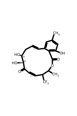 Cc1cc(O)c2c(c1)/C=C/C[C@H](O)[C@H](O)C(=O)/C=C\C(C(F)(F)F)C(C)OC2=O